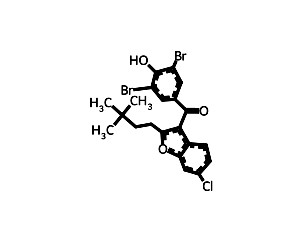 CC(C)(C)CCc1oc2cc(Cl)ccc2c1C(=O)c1cc(Br)c(O)c(Br)c1